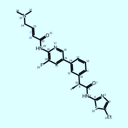 CCc1cnc(NC(=O)[C@@H](C)c2cccc(-c3cnc(NC(=O)/C=C/CN(C)C)c(F)c3)c2)s1